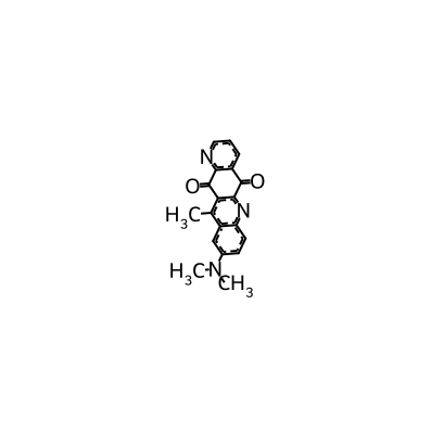 Cc1c2c(nc3ccc(N(C)C)cc13)C(=O)c1cccnc1C2=O